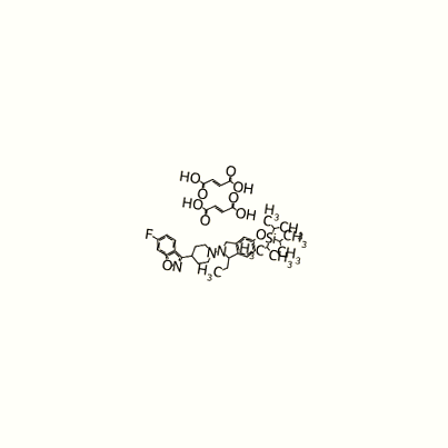 CCC1c2ccc(O[Si](C(C)C)(C(C)C)C(C)C)cc2CN1N1CCC(c2noc3cc(F)ccc23)CC1.O=C(O)/C=C/C(=O)O.O=C(O)/C=C/C(=O)O